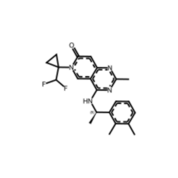 Cc1nc(N[C@H](C)c2cccc(C)c2C)c2cn(C3(C(F)F)CC3)c(=O)cc2n1